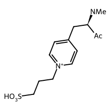 CN[C@H](Cc1cc[n+](CCCS(=O)(=O)O)cc1)C(C)=O